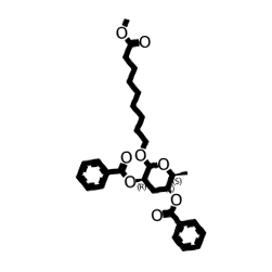 COC(=O)CCCCCCCCOC1O[C@@H](C)[C@H](OC(=O)c2ccccc2)C[C@H]1OC(=O)c1ccccc1